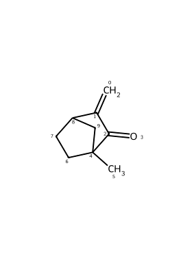 C=C1C(=O)C2(C)CCC1C2